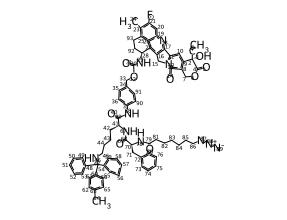 CC[C@@]1(O)C(=O)OCc2c1cc1n(c2=O)Cc2c-1nc1cc(F)c(C)c3c1c2[C@@H](NC(=O)OCc1ccc(NC(=O)[C@H](CCCCNC(c2ccccc2)(c2ccccc2)c2ccc(C)cc2)NC(=O)[C@H](Cc2ccccc2)NC(=O)CCCCCCN=[N+]=[N-])cc1)CC3